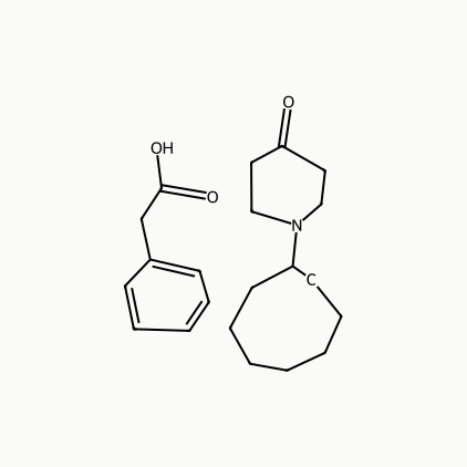 O=C(O)Cc1ccccc1.O=C1CCN(C2CCCCCCC2)CC1